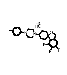 Cl.Cl.Fc1ccc(N2CCN(C3CCC4(CC3)OCc3cc(F)c(F)c(F)c34)CC2)cc1